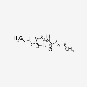 [CH2]CCCc1ccc(NC(=O)CCCC)cc1